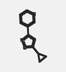 c1cncc(-c2cc(C3CC3)on2)c1